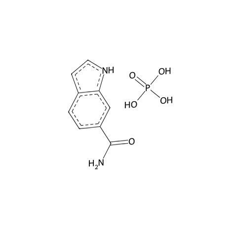 NC(=O)c1ccc2cc[nH]c2c1.O=P(O)(O)O